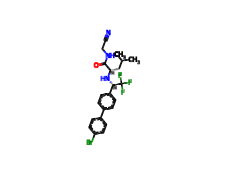 CC(C)C[C@H](N[C@@H](c1ccc(-c2ccc(Br)cc2)cc1)C(F)(F)F)C(=O)NCC#N